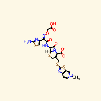 C[n+]1ccc2nc(SCC3=C(C(=O)[O-])N4C(=O)C(NC(=O)/C(=N\OCC(=O)O)c5csc(N)n5)[C@@H]4SC3)sc2c1